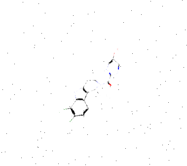 C[C@H]1c2c([nH]c3c(Cl)c(Cl)ccc23)CCN1C(=O)c1ncc(O)cn1